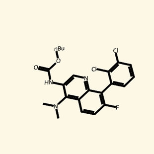 CCCCOC(=O)Nc1cnc2c(-c3cccc(Cl)c3Cl)c(F)ccc2c1N(C)C